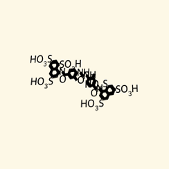 Cc1cc(C(=O)N=C2C=C(S(=O)(=O)O)CC3=CC(S(=O)(=O)O)=CC(S(=O)(=O)O)C32)ccc1NC(=O)Nc1ccc(C(=O)N=C2C=C(S(=O)(=O)O)CC3=CC(S(=O)(=O)O)=CC(S(=O)(=O)O)C32)cc1C